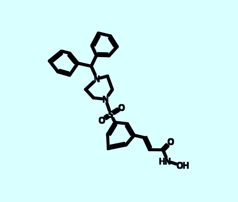 O=C(C=Cc1cccc(S(=O)(=O)N2CCN(C(c3ccccc3)c3ccccc3)CC2)c1)NO